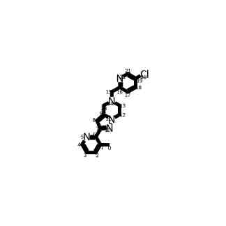 Cc1cccnc1-c1cc2n(n1)CCN(Cc1ccc(Cl)cn1)C2